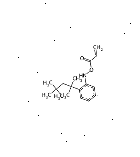 C=CC(=O)ONc1c[c]ccc1C(C)(C)CC(C)(C)C